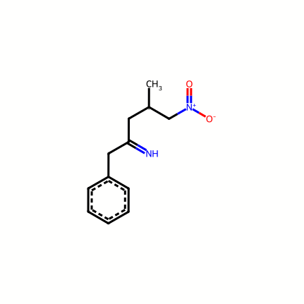 C[C](CC(=N)Cc1ccccc1)C[N+](=O)[O-]